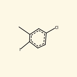 Cc1cc(Cl)ccc1I